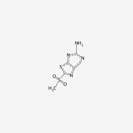 CS(=O)(=O)c1nc2cnc(N)nc2s1